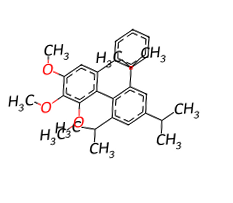 COc1cc(-c2ccccc2)c(-c2c(C(C)C)cc(C(C)C)cc2C(C)C)c(OC)c1OC